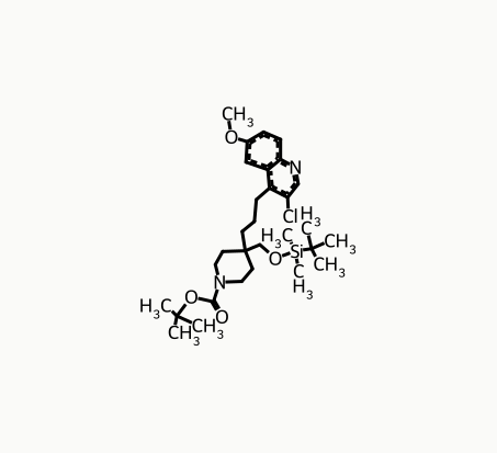 COc1ccc2ncc(Cl)c(CCCC3(CO[Si](C)(C)C(C)(C)C)CCN(C(=O)OC(C)(C)C)CC3)c2c1